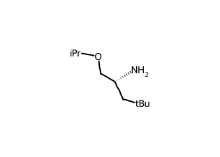 CC(C)OC[C@H](N)CC(C)(C)C